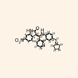 O=C1Nc2cc([N+](=O)[O-])ccc2/C1=C(/Nc1ccc(CN2CCCC2)cc1)c1cccnc1